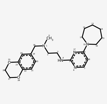 CN(CCNc1nccc(N2CCCCCC2)n1)Cc1ccc2c(c1)OCCO2